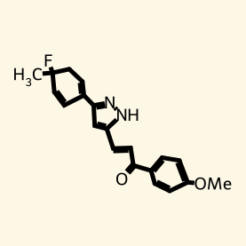 COc1ccc(C(=O)/C=C/c2cc(C3=CCC(C)(F)C=C3)n[nH]2)cc1